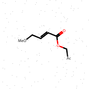 COCC=CC(=O)OCC(C)=O